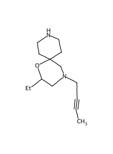 CC#CCN1CC(CC)OC2(CCNCC2)C1